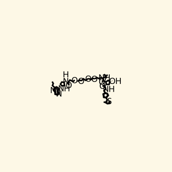 CCCc1cc(N[C@@H]2CC[C@@H](NC(=O)CCOCCOCCOCCOCCN[C@H](C(=O)C3C[C@H](O)C[C@H]3C(=O)NCc3ccc(-c4sccc4C)cc3)C(C)(C)C)C2)n2nccc2n1